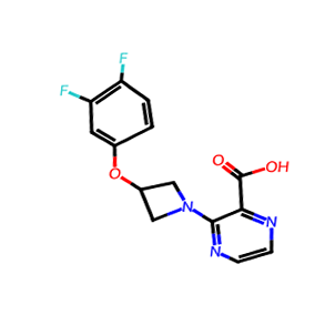 O=C(O)c1nccnc1N1CC(Oc2ccc(F)c(F)c2)C1